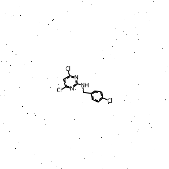 Clc1ccc(CNc2nc(Cl)cc(Cl)n2)cc1